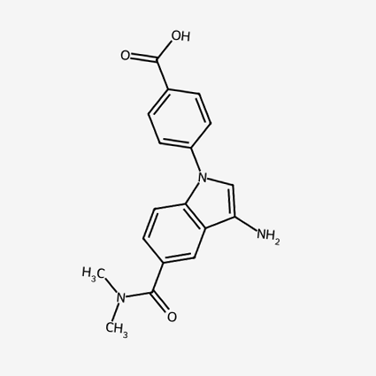 CN(C)C(=O)c1ccc2c(c1)c(N)cn2-c1ccc(C(=O)O)cc1